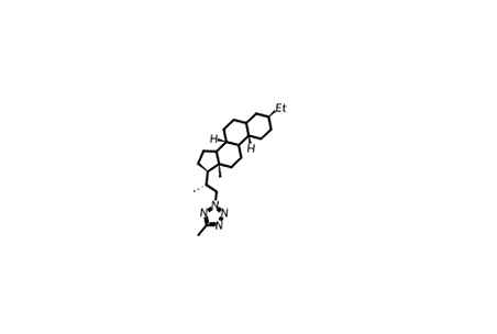 CC[C@H]1CC[C@H]2C(CC[C@@H]3C2CC[C@@]2(C)C3CC[C@@H]2[C@@H](C)Cn2nnc(C)n2)C1